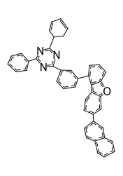 C1=CCC(c2nc(-c3ccccc3)nc(-c3cccc(-c4cccc5oc6cc(-c7ccc8ccccc8c7)ccc6c45)c3)n2)C=C1